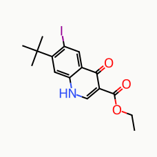 CCOC(=O)c1c[nH]c2cc(C(C)(C)C)c(I)cc2c1=O